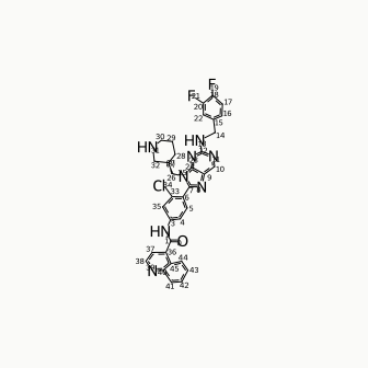 O=C(Nc1ccc(-c2nc3cnc(NCc4ccc(F)c(F)c4)nc3n2C[C@@H]2CCCNC2)c(Cl)c1)c1ccnc2ccccc12